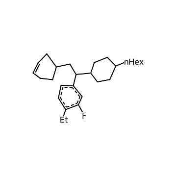 CCCCCCC1CCC(C(CC2CC=CCC2)c2ccc(CC)c(F)c2)CC1